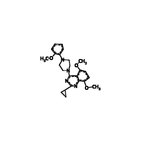 COc1ccccc1N1CCN(c2nc(C3CC3)nc3c(OC)ccc(OC)c23)CC1